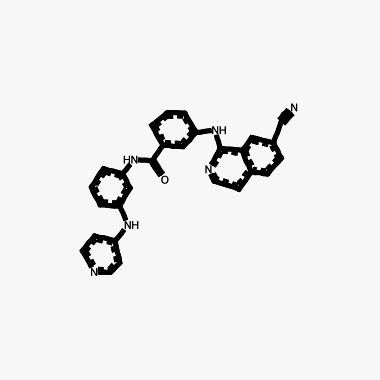 N#Cc1ccc2ccnc(Nc3cccc(C(=O)Nc4cccc(Nc5ccncc5)c4)c3)c2c1